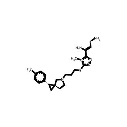 Cn1c(SCCCN2CC[C@]3(C[C@@H]3c3ccc(C(F)(F)F)cc3)C2)nnc1/C(N)=C/SN